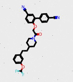 N#Cc1ccc(-c2cc(C#N)ccc2OCC(=O)N2CCC(CCc3cccc(OC(F)F)c3)CC2)cc1